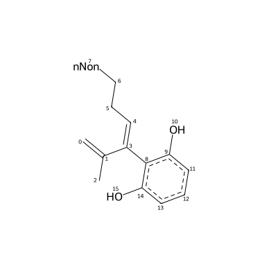 C=C(C)C(=CCCCCCCCCCCC)c1c(O)cccc1O